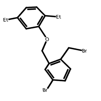 CCc1ccc(CC)c(OCc2cc(Br)ccc2CBr)c1